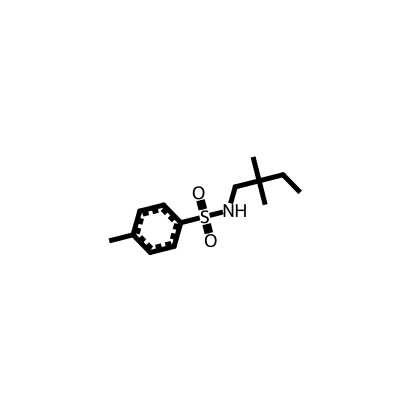 CCC(C)(C)CNS(=O)(=O)c1ccc(C)cc1